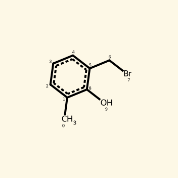 Cc1cccc(CBr)c1O